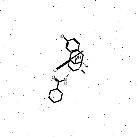 CN1CC[C@]23CC(=O)[C@@H](NC(=O)C4CCCCC4)C[C@@]2(O)[C@H]1Cc1ccc(O)cc13